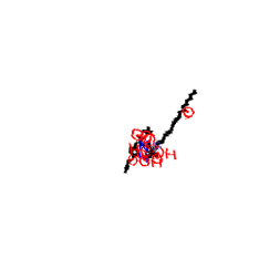 CC#CCOc1ccc(C[C@H](NC(=O)[C@@H](/C=C/CCCCCCC(=O)CCCCCCC)[C@@](O)(CC(=O)O)C(=O)O)C(=O)OC(C)(C)C)cc1